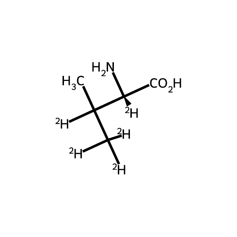 [2H]C([2H])([2H])C([2H])(C)[C@]([2H])(N)C(=O)O